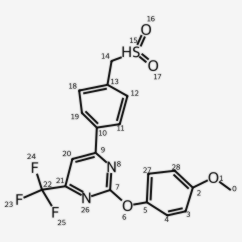 COc1ccc(Oc2nc(-c3ccc(C[SH](=O)=O)cc3)cc(C(F)(F)F)n2)cc1